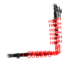 O=[Si](O)O.O=[Si](O)O.O=[Si](O)O.O=[Si](O)O.O=[Si](O)O.O=[Si](O)O.O=[Si](O)O.O=[Si](O)O.O=[Si](O)O.O=[Si](O)O.O=[Si](O)O.O=[Si](O)O.[Al+3].[Al+3].[Al+3].[Al+3].[Al+3].[Al+3].[Al+3].[Al+3].[Al+3].[Al+3].[Al+3].[Al+3].[Al+3].[Al+3].[Al+3].[Al+3].[O-2].[O-2].[O-2].[O-2].[O-2].[O-2].[O-2].[O-2].[O-2].[O-2].[O-2].[O-2].[SiH4].[SiH4].[SiH4].[SiH4].[SiH4].[Si].[Si].[Si].[Si]